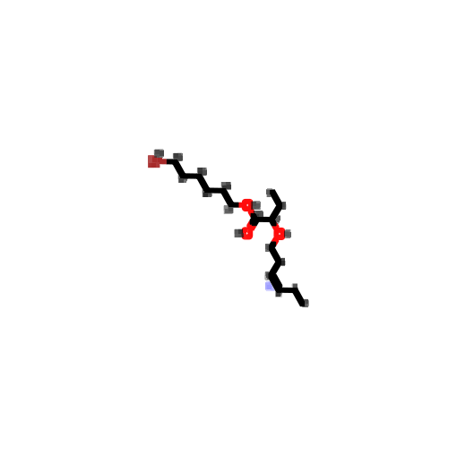 CC/C=C\CCOC(CC)C(=O)OCCCCCCBr